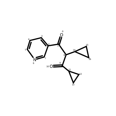 O=C(c1cccnc1)C(C(=O)C1CC1)C1CC1